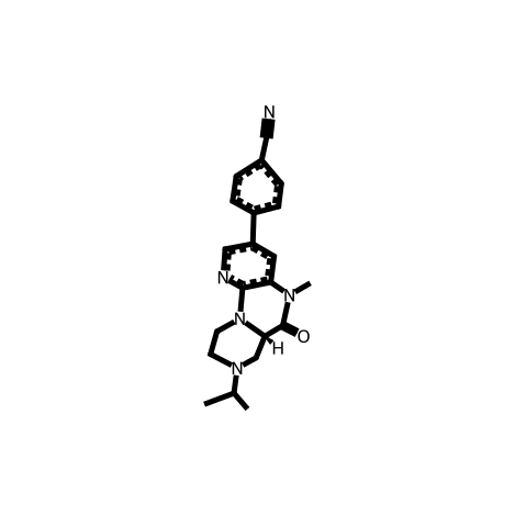 CC(C)N1CCN2c3ncc(-c4ccc(C#N)cc4)cc3N(C)C(=O)[C@@H]2C1